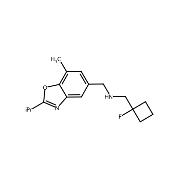 Cc1cc(CNCC2(F)CCC2)cc2nc(C(C)C)oc12